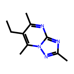 CCc1c(C)nc2nc(C)nn2c1C